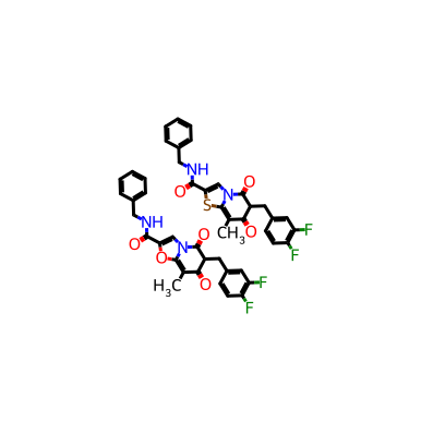 CC1=C2OC(C(=O)NCc3ccccc3)=CN2C(=O)C(Cc2ccc(F)c(F)c2)C1=O.CC1=C2SC(C(=O)NCc3ccccc3)=CN2C(=O)C(Cc2ccc(F)c(F)c2)C1=O